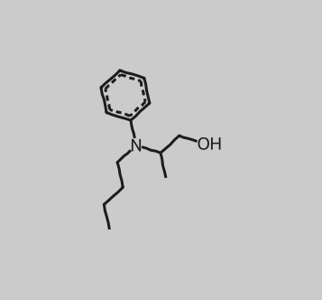 CCCCN(c1ccccc1)C(C)CO